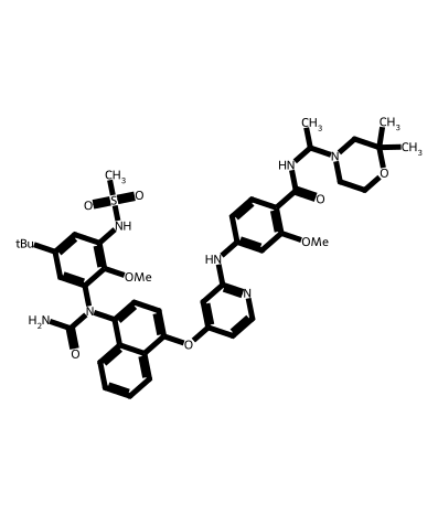 COc1cc(Nc2cc(Oc3ccc(N(C(N)=O)c4cc(C(C)(C)C)cc(NS(C)(=O)=O)c4OC)c4ccccc34)ccn2)ccc1C(=O)NC(C)N1CCOC(C)(C)C1